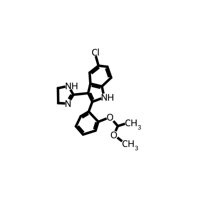 COC(C)Oc1ccccc1-c1[nH]c2ccc(Cl)cc2c1C1=NCCN1